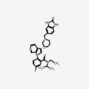 CCN(C(=O)c1cc(F)ccc1-n1cc([C@H]2CCCN(Cc3ccc4[nH]c(=O)[nH]c4c3)C2)c2ccncc21)C(C)C